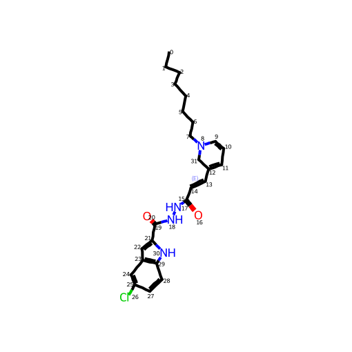 CCCCCCCCN1C=CC=C(/C=C/C(=O)NNC(=O)c2cc3cc(Cl)ccc3[nH]2)C1